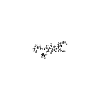 CO/N=C(\C(=O)N[C@@H]1C(=O)N2C(C(=O)OCOC(=O)C34CC5CC(CC(C5)C3)C4)=C(CSc3cnns3)CS[C@@H]12)c1csc(N)n1